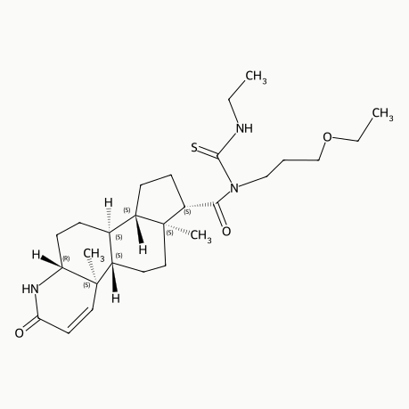 CCNC(=S)N(CCCOCC)C(=O)[C@H]1CC[C@H]2[C@@H]3CC[C@H]4NC(=O)C=C[C@]4(C)[C@H]3CC[C@]12C